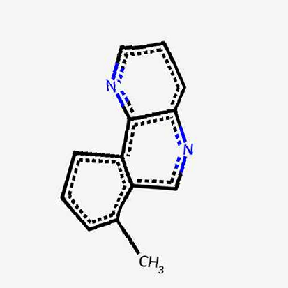 Cc1cccc2c1cnc1cccnc12